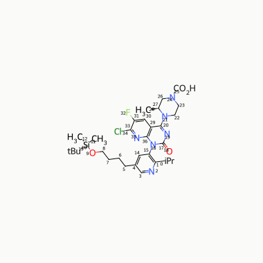 CC(C)c1ncc(CCCCO[Si](C)(C)C(C)(C)C)cc1-n1c(=O)nc(N2CCN(C(=O)O)C[C@@H]2C)c2cc(F)c(Cl)nc21